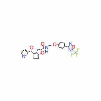 COC(c1cccnc1)c1cccc2oc(C(=O)NCCOc3ccc(-c4noc(C(F)(F)F)n4)cc3)cc12